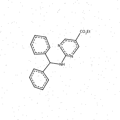 CCOC(=O)c1cnc(NC(c2ccccc2)c2ccccc2)nc1